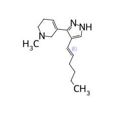 CCCC/C=C/c1c[nH]nc1C1=CCCN(C)C1